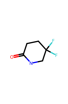 O=C1CCC(F)(F)C[N]1